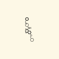 c1ccc(CN2CCC(Nc3ncnc4cc(OCC5CCCCC5)ccc34)CC2)cc1